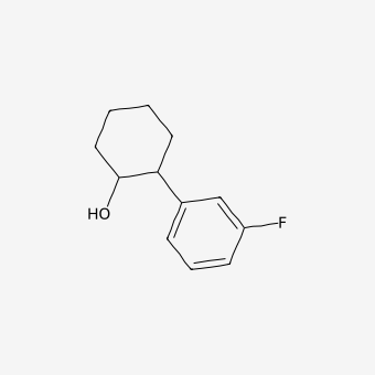 OC1CCCCC1c1cccc(F)c1